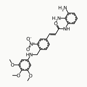 COc1cc(NCc2ccc(/C=C/C(=O)Nc3cccc(N)c3N)cc2[N+](=O)[O-])cc(OC)c1OC